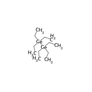 C[CH2][Ge]([CH2]C)([CH2]C)[Ge]([CH2]C)([CH2]C)[CH2]C